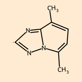 Cc1ccc(C)n2n[c]nc12